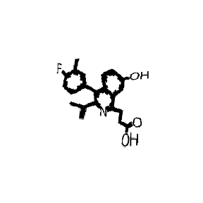 Cc1cc(-c2c(C(C)C)nc(CCC(=O)O)c3cc(O)ccc23)ccc1F